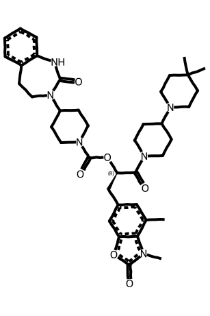 Cc1cc(C[C@@H](OC(=O)N2CCC(N3CCc4ccccc4NC3=O)CC2)C(=O)N2CCC(N3CCC(C)(C)CC3)CC2)cc2oc(=O)n(C)c12